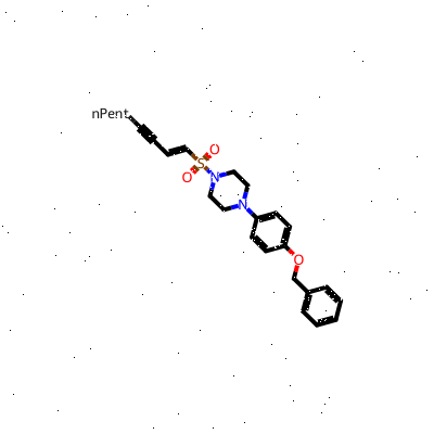 CCCCCC#CC=CS(=O)(=O)N1CCN(c2ccc(OCc3ccccc3)cc2)CC1